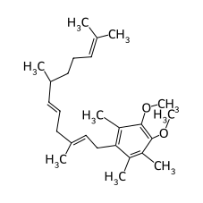 COc1c(C)c(C)c(C/C=C(\C)C/C=C/C(C)CCC=C(C)C)c(C)c1OC